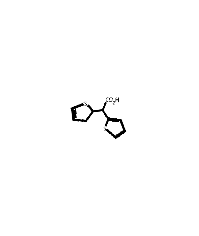 O=C(O)C(C1=CCCS1)C1CC=CS1